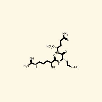 N=C(N)NCCC[C@H](N)C(=O)N[C@@H](CCC(=O)O)C(=O)N[C@@H](CCC(N)=O)C(=O)O